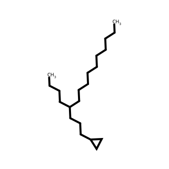 CCC[CH]C(CCCCCCCCCC)CCCC1CC1